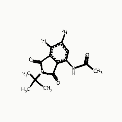 [2H]c1cc(NC(C)=O)c2c(c1[2H])C(=O)N(C(C)(C)C)C2=O